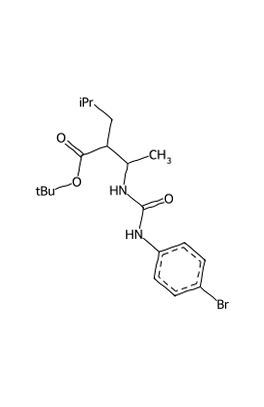 CC(C)CC(C(=O)OC(C)(C)C)C(C)NC(=O)Nc1ccc(Br)cc1